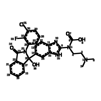 CN(C)CCN(C(=O)O)c1nc2ccc(C3(O)c4ccccc4C(=O)N3c3cccc(Cl)c3F)cc2[nH]1